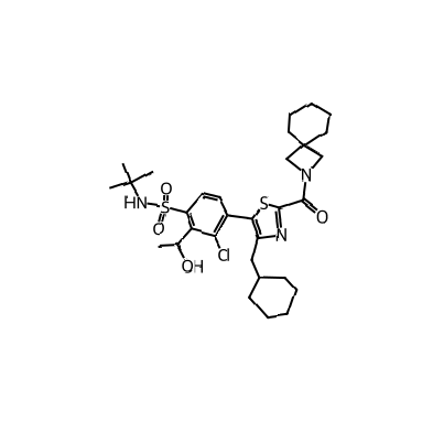 CC(O)c1c(S(=O)(=O)NC(C)(C)C)ccc(-c2sc(C(=O)N3CC4(CCCCC4)C3)nc2CC2CCCCC2)c1Cl